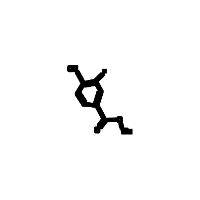 CC(C)(C)OC(=O)c1ccc(N=O)c(F)c1